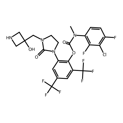 CN(C(=O)Oc1c(N2CCN(CC3(O)CNC3)C2=O)cc(C(F)(F)F)cc1C(F)(F)F)c1ccc(F)c(Cl)c1F